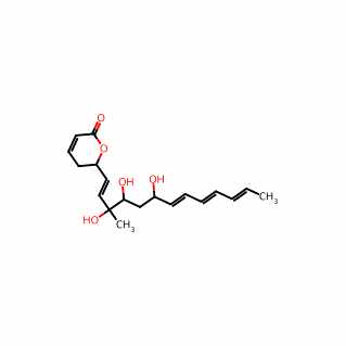 CC=CC=CC=CC(O)CC(O)C(C)(O)C=CC1CC=CC(=O)O1